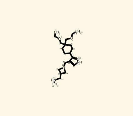 CCOCC1(COCC)CCC(c2n[nH]cc2CN2CC(CNC)C2)CC1